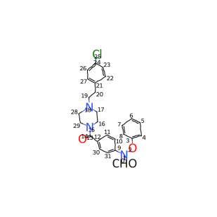 O=CN(Oc1ccccc1)c1ccc(C(=O)N2CCN(CCc3ccc(Cl)cc3)CC2)cc1